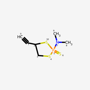 C#CC1CSP(=S)(N(C)C)S1